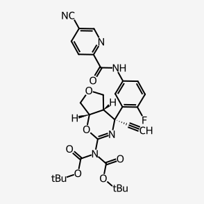 C#C[C@]1(c2cc(NC(=O)c3ccc(C#N)cn3)ccc2F)N=C(N(C(=O)OC(C)(C)C)C(=O)OC(C)(C)C)O[C@@H]2COC[C@@H]21